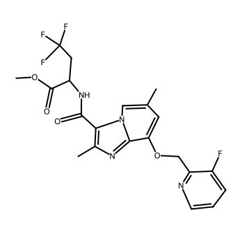 COC(=O)C(CC(F)(F)F)NC(=O)c1c(C)nc2c(OCc3ncccc3F)cc(C)cn12